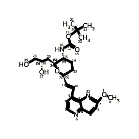 COc1ccc2nccc(C=C[C@@H]3CC[C@@H](NC(=O)OC(C)(C)C)[C@H](C[C@H](O)CO)O3)c2n1